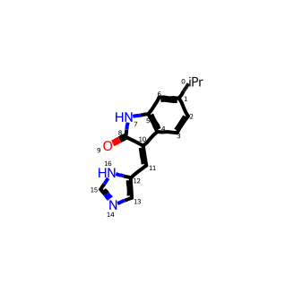 CC(C)c1ccc2c(c1)NC(=O)/C2=C\c1cnc[nH]1